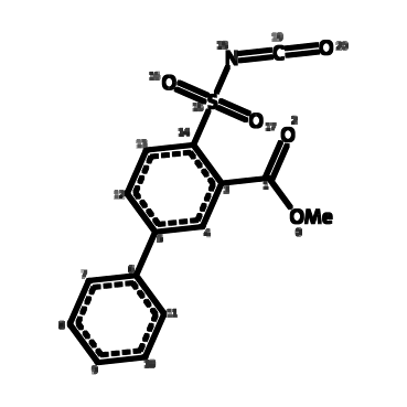 COC(=O)c1cc(-c2ccccc2)ccc1S(=O)(=O)N=C=O